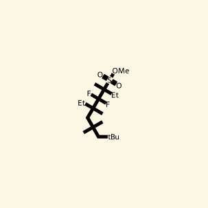 CCC(C)(CC(C)(C)CC(C)(C)C)C(F)(F)C(C)(CC)S(=O)(=O)OC